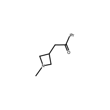 CC(C)C(=O)CC1CN(C)C1